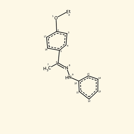 CCOc1ccc(C(C)=NNc2ccccc2)cc1